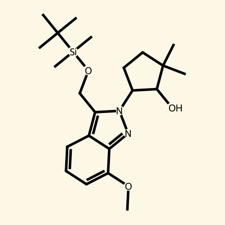 COc1cccc2c(CO[Si](C)(C)C(C)(C)C)n(C3CCC(C)(C)C3O)nc12